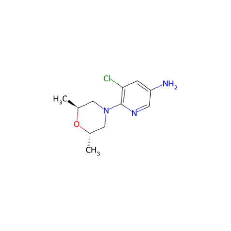 C[C@H]1CN(c2ncc(N)cc2Cl)C[C@H](C)O1